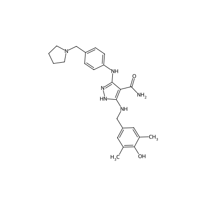 Cc1cc(CNc2[nH]nc(Nc3ccc(CN4CCCC4)cc3)c2C(N)=O)cc(C)c1O